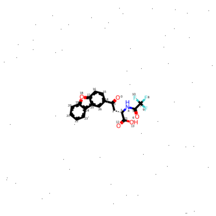 O=C(C[C@H](NC(=O)C(F)(F)F)C(=O)O)c1ccc2oc3ccccc3c2c1